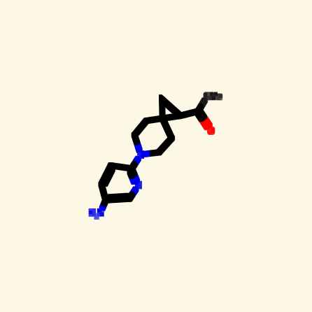 COC(=O)C1CC12CCN(c1ccc(N)cn1)CC2